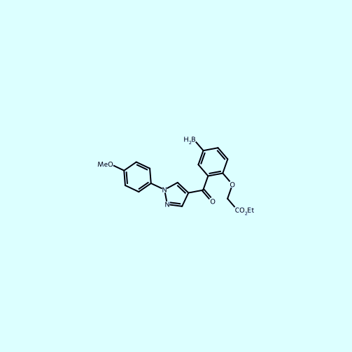 Bc1ccc(OCC(=O)OCC)c(C(=O)c2cnn(-c3ccc(OC)cc3)c2)c1